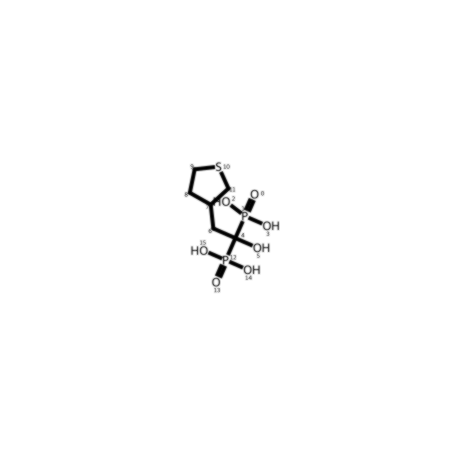 O=P(O)(O)C(O)(CC1CCSC1)P(=O)(O)O